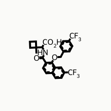 CC1(C(NC(=O)c2ccc3ccc(C(F)(F)F)cc3c2OCc2ccc(C(F)(F)F)cc2)C(=O)O)CCC1